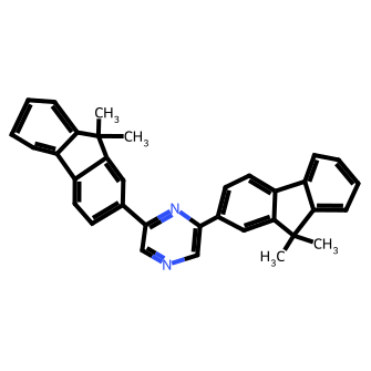 CC1(C)c2ccccc2-c2ccc(-c3cncc(-c4ccc5c(c4)C(C)(C)c4ccccc4-5)n3)cc21